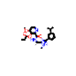 CCC(=O)Oc1c(OC)ccnc1C(=O)N[C@@H](C)c1nc(-c2cccc(C(C)C)c2)nn1C